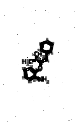 CN(C)/C(=C\c1ccccc1)Oc1ccccc1N